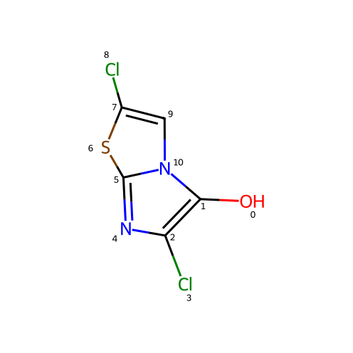 Oc1c(Cl)nc2sc(Cl)cn12